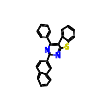 c1ccc(-c2nc(-c3ccc4ccccc4c3)nc3sc4ccccc4c23)cc1